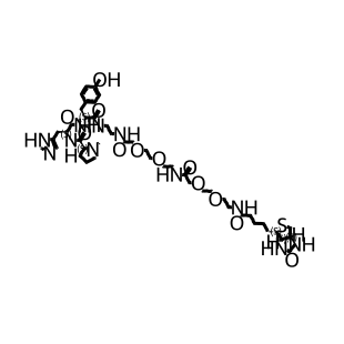 CN1CCC[C@H]1C(=O)N[C@@H](Cc1cnc[nH]1)C(=O)N[C@@H](Cc1ccc(O)cc1)C(=O)NCCNC(=O)COCCOCCNC(=O)COCCOCCNC(=O)CCCC[C@@H]1SC[C@@H]2NC(=O)N[C@@H]21